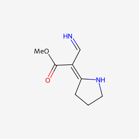 COC(=O)/C(C=N)=C1\CCCN1